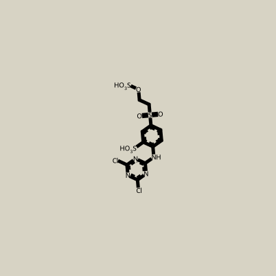 O=S(=O)(O)OCCS(=O)(=O)c1ccc(Nc2nc(Cl)nc(Cl)n2)c(S(=O)(=O)O)c1